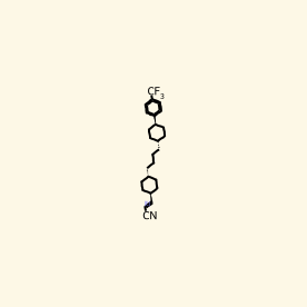 N#C/C=C/[C@H]1CC[C@H](CCCC[C@H]2CC[C@H](c3ccc(C(F)(F)F)cc3)CC2)CC1